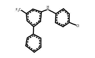 FC(F)(F)c1cc(Nc2ccc(Cl)cc2)cc(-c2ccccc2)c1